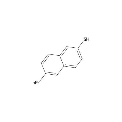 CCCc1ccc2cc(S)ccc2c1